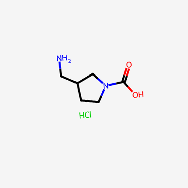 Cl.NCC1CCN(C(=O)O)C1